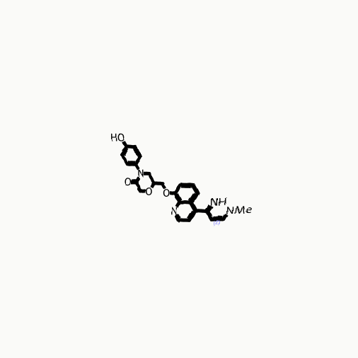 CN/C=C\C(=N)c1ccnc2c(OCC3CN(c4ccc(O)cc4)C(=O)CO3)cccc12